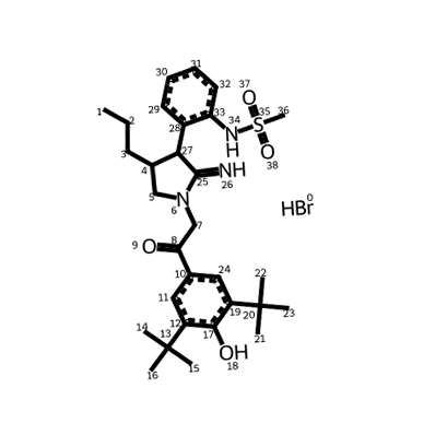 Br.CCCC1CN(CC(=O)c2cc(C(C)(C)C)c(O)c(C(C)(C)C)c2)C(=N)C1c1ccccc1NS(C)(=O)=O